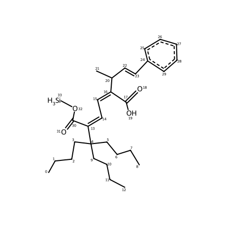 CCCCC(CCCC)(CCCC)C(=CC=C(C(=O)O)C(C)C=Cc1ccccc1)C(=O)O[SiH3]